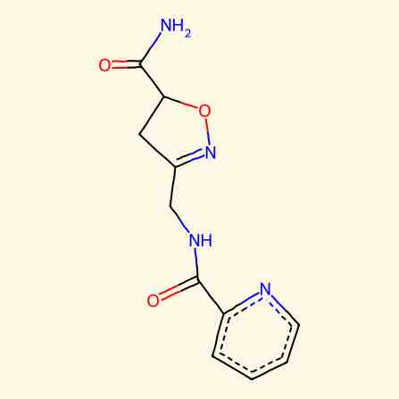 NC(=O)C1CC(CNC(=O)c2ccccn2)=NO1